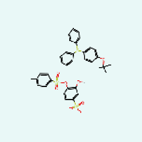 CC(C)(C)Oc1ccc([S+](c2ccccc2)c2ccccc2)cc1.COc1cc(S(=O)(=O)[O-])ccc1OS(=O)(=O)c1ccc(C)cc1